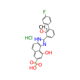 COc1c(-c2ccc(F)cc2)cccc1-c1nc2c(ccc3cc(S(=O)(=O)O)cc(O)c32)[nH]1.Cl